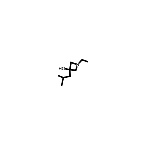 CCN1CC(O)(CC(C)C)C1